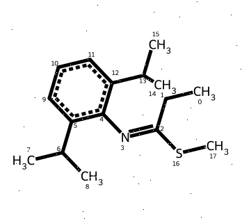 CCC(=Nc1c(C(C)C)cccc1C(C)C)SC